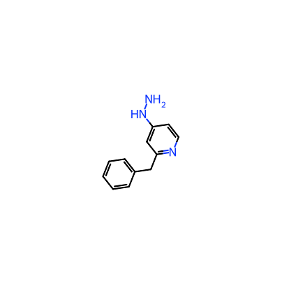 NNc1ccnc(Cc2ccccc2)c1